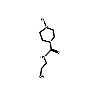 CCN1CCN(C(=O)NCCO)CC1